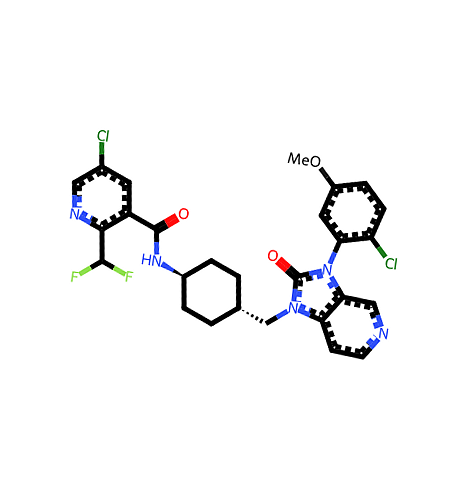 COc1ccc(Cl)c(-n2c(=O)n(C[C@H]3CC[C@H](NC(=O)c4cc(Cl)cnc4C(F)F)CC3)c3ccncc32)c1